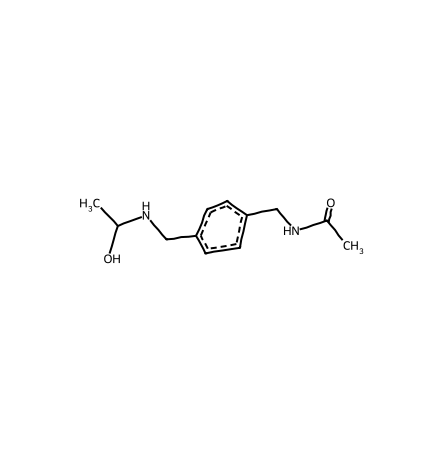 CC(=O)NCc1ccc(CNC(C)O)cc1